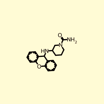 NC(=O)N1CCCC(NC2c3ccccc3Oc3ccccc32)C1